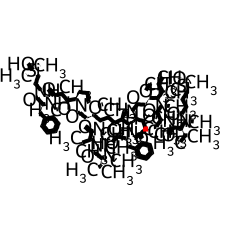 CC[C@@H](C)[C@H]([C@H](CC(=O)N1CC(C(C)[C@@H](C)[C@H]([C@H](CC(=O)N2CCC[C@@H]2[C@H](OC)[C@H](C)C(=O)N[C@H](Cc2ccccc2)C(=O)NCC[Si](C)(C)O)OC)N(C)C(=O)[C@H](NC(=O)[C@@H](C(C)C)N(C)C)C(C)C)C[C@@H]1[C@@H](OC)[C@H](C)C(=O)N[C@H](Cc1ccccc1)C(=O)O)OC)N(C)C(=O)[C@H](NC(=O)[C@@H](C(C)C)N(C)C(=O)CCC[Si](C)(C)O)C(C)C